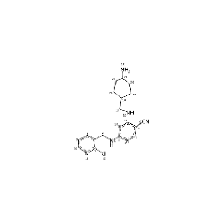 N#Cc1cnc(NCc2cccnc2Cl)nc1NCC1CCC(N)CC1